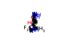 Cc1cc(Nc2cc(C(F)(F)F)ccn2)nc(-c2cnc([C@@]3(O)CCCc4cc(C(=O)Nc5nnn[nH]5)ccc43)s2)c1